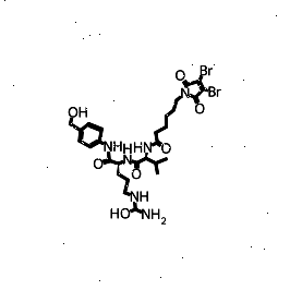 CC(C)[C@H](NC(=O)CCCCCN1C(=O)C(Br)=C(Br)C1=O)C(=O)N[C@@H](CCCNC(N)O)C(=O)Nc1ccc(CO)cc1